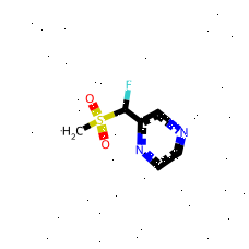 [CH2]S(=O)(=O)C(F)c1cnccn1